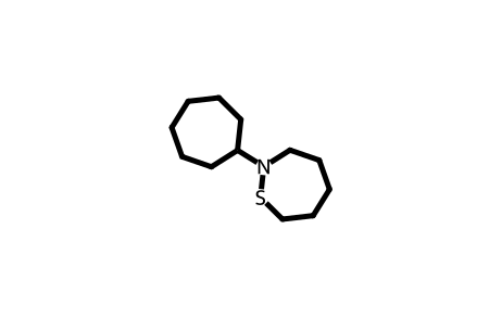 C1CCCC(N2CCCCCS2)CC1